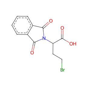 O=C(O)C(CCBr)N1C(=O)c2ccccc2C1=O